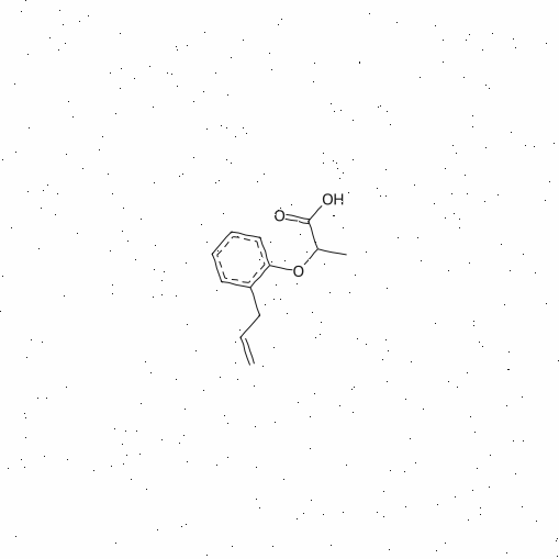 C=CCc1ccccc1OC(C)C(=O)O